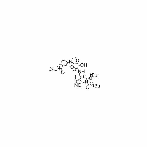 [C-]#[N+]c1ccc(NC(=O)[C@H](O)[C@H]2OCCN(c3ccc4c(c3)C(=O)N(CC3CC3)C4)C2=O)cc1CN(C(=O)OC(C)(C)C)C(=O)OC(C)(C)C